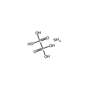 O=P(O)(O)P(=O)(O)O.[SiH4]